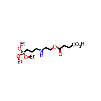 CCO[Si](CCCNCCOC(=O)CCC(=O)O)(OCC)OCC